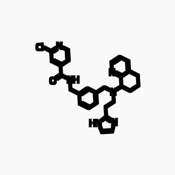 O=C(NCc1cccc(CN(CCc2ncc[nH]2)C2CCCc3cccnc32)c1)c1ccnc(Cl)c1